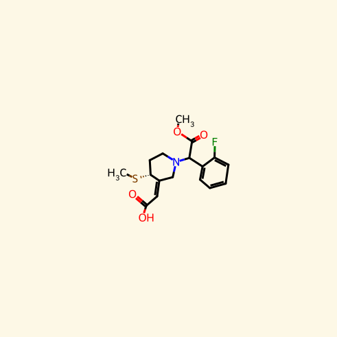 COC(=O)C(c1ccccc1F)N1CC[C@@H](SC)/C(=C\C(=O)O)C1